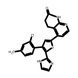 Cc1ccc(-c2cc(-c3ccnc4c3CCC(=O)N4)sc2-c2ncc[nH]2)c(Cl)c1